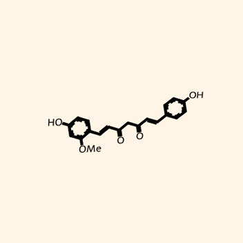 COc1cc(O)ccc1C=CC(=O)CC(=O)C=Cc1ccc(O)cc1